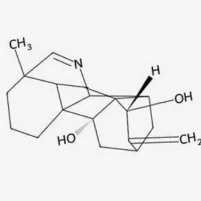 C=C1C2CC3C4N=CC5(C)CCCC46C5CCC3([C@@H]1O)[C@@]6(O)C2